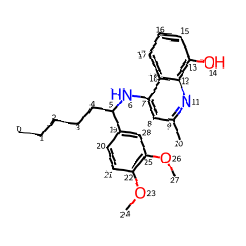 CCCCCC(Nc1cc(C)nc2c(O)cccc12)c1ccc(OC)c(OC)c1